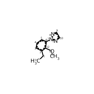 CCc1cccc(-n2nccn2)c1OC